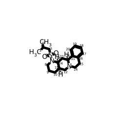 CC(C)CS(=O)(=O)N1CCC[C@@H]2CN3CCc4ccccc4[C@@H]3C[C@@H]21